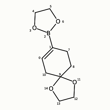 C1=C(B2OCCO2)CCC2(C1)OCCO2